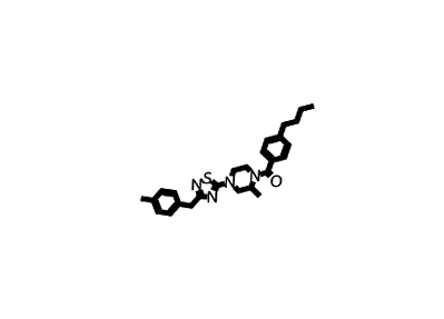 CCCCc1ccc(C(=O)N2CCN(c3nc(Cc4ccc(C)cc4)ns3)CC2C)cc1